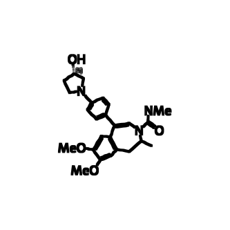 CNC(=O)N1C=C(c2ccc(N3CC[C@H](O)C3)cc2)c2cc(OC)c(OC)cc2CC1C